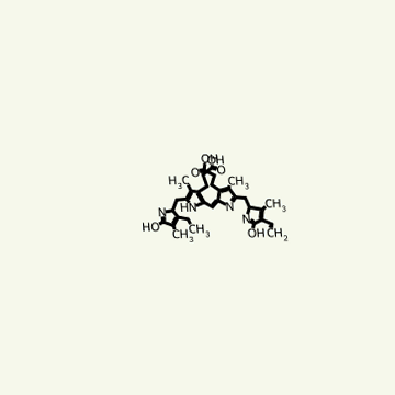 C=CC1=C(C)C(CC2=NC(=Cc3[nH]c(CC4N=C(O)C(C)=C4CC)c(C)c3CCC(=O)O)C(CCC(=O)O)=C2C)N=C1O